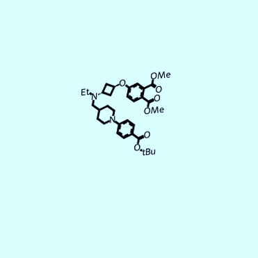 CCN(CC1CCN(c2ccc(C(=O)OC(C)(C)C)cc2)CC1)[C@H]1C[C@H](Oc2ccc(C(=O)OC)c(C(=O)OC)c2)C1